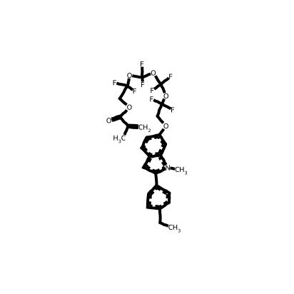 C=C(C)C(=O)OCC(F)(F)OC(F)(F)OC(F)(F)OC(F)(F)COc1ccc2cc(-c3ccc(CC)cc3)n(C)c2c1